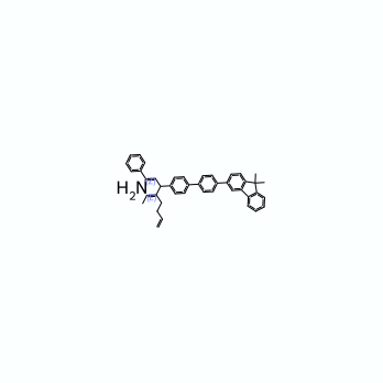 C=CCC/C(=C\C)C(/C=C(\N)c1ccccc1)c1ccc(-c2ccc(-c3ccc4c(c3)-c3ccccc3C4(C)C)cc2)cc1